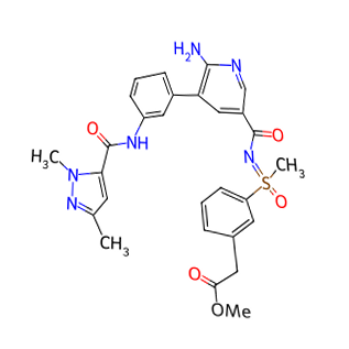 COC(=O)Cc1cccc(S(C)(=O)=NC(=O)c2cnc(N)c(-c3cccc(NC(=O)c4cc(C)nn4C)c3)c2)c1